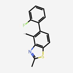 [CH2]c1c(-c2ccccc2F)ccc2sc(C)nc12